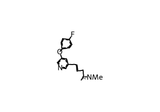 CN[C@@H](C)CC=Cc1cncc(Oc2ccc(F)cc2)c1